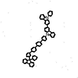 c1ccc(-n2c3ccccc3c3cc(-c4ccc5c(c4)c4ccccc4n5-c4ccc(-c5ccc(-c6ccc(-c7cccc(C8(c9ccccc9)c9ccccc9-c9ccccc98)c7)cc6)cc5)cc4)ccc32)cc1